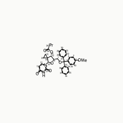 COc1ccc(C(OC[C@H]2O[C@@H](n3ccc(=O)[nH]c3=O)C3(CC3)[C@@H]2OC(=O)C(C)C)(c2ccccc2)c2ccccc2)cc1